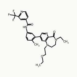 CCOCCN1CCN(CC)C(=O)c2ncc(-c3cc(NC(=O)c4ccnc(C(F)(F)F)c4)ccc3C)cc21